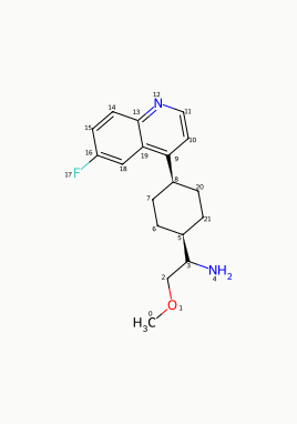 COCC(N)[C@H]1CC[C@@H](c2ccnc3ccc(F)cc32)CC1